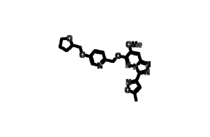 COc1cc2nnc(-c3cc(C)on3)n2nc1OCc1ccc(OCC2CCCO2)cn1